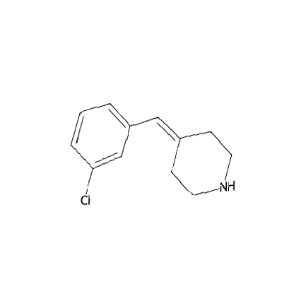 Clc1cccc(C=C2CCNCC2)c1